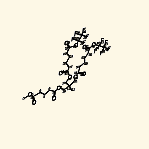 COC(=O)CCCC(=O)OCC(C)(COC(=O)CCCCC(=O)OC(F)(F)C(F)(F)F)COC(=O)CCCCC(=O)OC(F)(F)C(F)(F)F